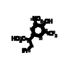 CC(C)CC(C(=O)O)c1cc([N+](=O)[O-])c(O)c(C(F)(F)F)c1